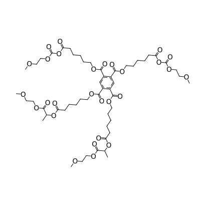 COCCOC(=O)OC(=O)CCCCCOC(=O)c1cc(C(=O)OCCCCCC(=O)OC(C)C(=O)OCCOC)c(C(=O)OCCCCCC(=O)OC(C)C(=O)OCCOC)cc1C(=O)OCCCCCC(=O)OC(=O)OCCOC